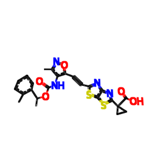 Cc1ccccc1C(C)OC(=O)Nc1c(C)noc1C#Cc1nc2nc(C3(C(=O)O)CC3)sc2s1